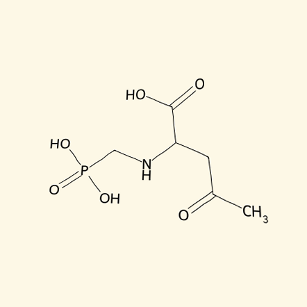 CC(=O)CC(NCP(=O)(O)O)C(=O)O